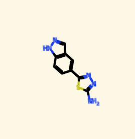 Nc1nnc(-c2ccc3[nH]ncc3c2)s1